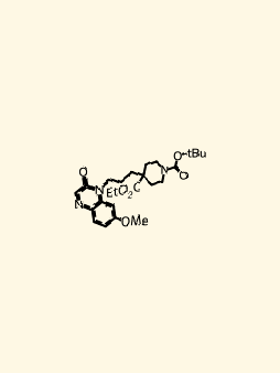 CCOC(=O)C1(CCCn2c(=O)cnc3ccc(OC)cc32)CCN(C(=O)OC(C)(C)C)CC1